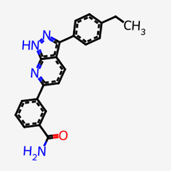 CCc1ccc(-c2n[nH]c3nc(-c4cccc(C(N)=O)c4)ccc23)cc1